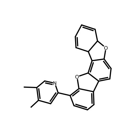 Cc1cnc(-c2cccc3c2oc2c4c(ccc23)OC2C=CC=CC42)cc1C